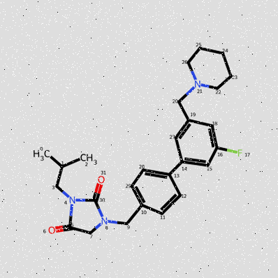 CC(C)CN1C(=O)CN(Cc2ccc(-c3cc(F)cc(CN4CCCCC4)c3)cc2)C1=O